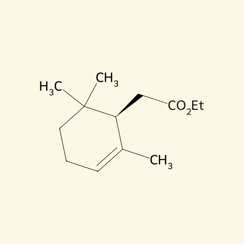 CCOC(=O)C[C@H]1C(C)=CCCC1(C)C